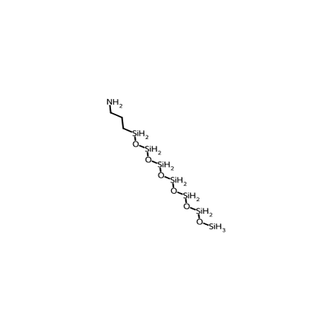 NCCC[SiH2]O[SiH2]O[SiH2]O[SiH2]O[SiH2]O[SiH2]O[SiH3]